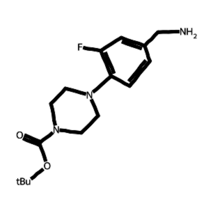 CC(C)(C)OC(=O)N1CCN(c2ccc(CN)cc2F)CC1